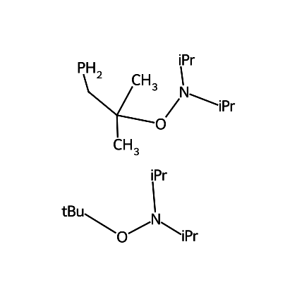 CC(C)N(OC(C)(C)C)C(C)C.CC(C)N(OC(C)(C)CP)C(C)C